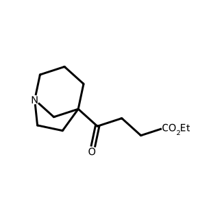 CCOC(=O)CCC(=O)C12CCCN(CC1)C2